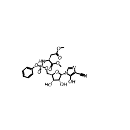 COC(=O)C[C@H](NP(=O)(OC[C@H]1O[C@@H](n2cnc(C#N)c2O)[C@H](O)[C@@H]1O)Oc1ccccc1)C(=O)OC